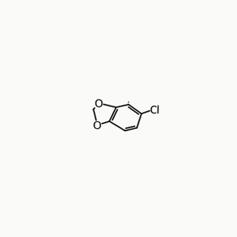 Clc1[c]c2c(cc1)OCO2